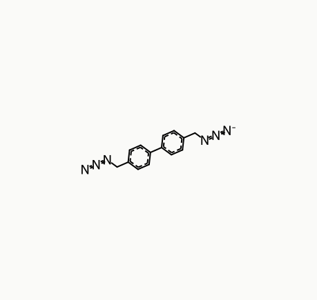 [N-]=[N+]=NCc1ccc(-c2ccc(CN=[N+]=[N-])cc2)cc1